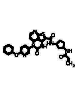 C=CC(=O)NC1CCC(NC(=O)c2sc3nccc4c3c2NC(=O)N4c2ccc(Oc3ccccc3)nc2)C1